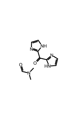 CN(C)C=O.O=C(c1ncc[nH]1)c1ncc[nH]1